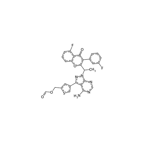 CC(c1oc2cccc(F)c2c(=O)c1-c1cccc(F)c1)n1nc(-c2csc(COC=O)c2)c2c(N)ncnc21